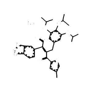 Cc1csc(C(=O)C(Cc2cc(OC(C)C)c(OC(C)C)c(OC(C)C)c2)=C(C(=O)[O-])c2ccc3nsnc3c2)c1.[Na+]